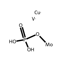 O=P(O)(O)[O][Mo].[Cu].[V]